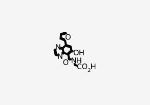 O=C(O)CNC(=O)c1c(O)cc(-c2ccco2)c2nccnc12